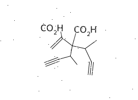 C#CC(C)C(C(=C)C(=O)O)(C(=O)O)C(C)C#C